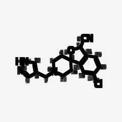 N#CC1OC2(CCN(Cc3cn[nH]c3)CC2)c2cc(Cl)ccc21